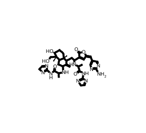 C=C1C(NC(C)C(=O)NC2=NCC=N2)CC2[C@](C)(CC[C@@H](O)[C@@]2(C)CO)C1CC(NC(C)C(=O)NC1=NCC=N1)C1=C/C(=C\c2cnc(N)nc2)OC1=O